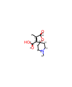 CC1=C(C(=O)O)C2(CCN(C)CC2)OC1=O